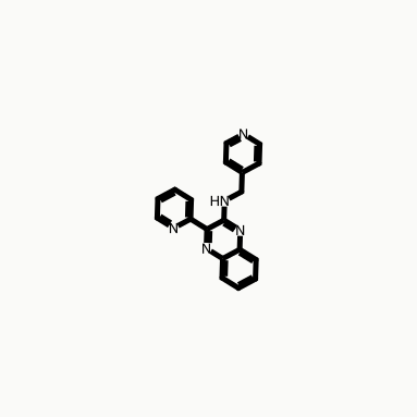 c1ccc(-c2nc3ccccc3nc2NCc2ccncc2)nc1